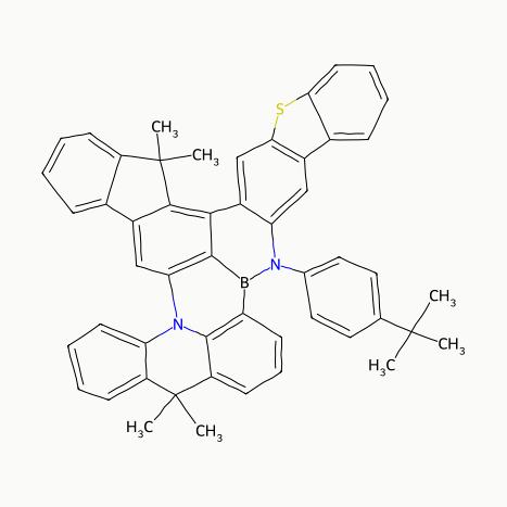 CC(C)(C)c1ccc(N2B3c4cccc5c4N(c4ccccc4C5(C)C)c4cc5c(c(c43)-c3cc4sc6ccccc6c4cc32)C(C)(C)c2ccccc2-5)cc1